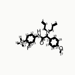 C=CCN(CC=C)C(C(=O)Nc1ccc([Si](C)(C)C)c(F)c1)c1ccc(OC)cc1